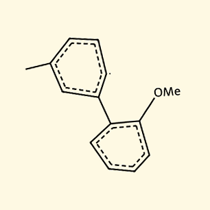 COc1ccccc1-c1[c]ccc(C)c1